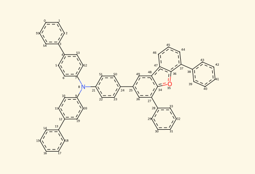 c1ccc(-c2ccc(N(c3ccc(-c4ccccc4)cc3)c3ccc(-c4cc(-c5ccccc5)c5oc6c(-c7ccccc7)cccc6c5c4)cc3)cc2)cc1